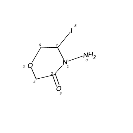 NN1C(=O)COCC1I